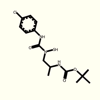 CC(CN(S)C(=O)Nc1ccc(Cl)cc1)NC(=O)OC(C)(C)C